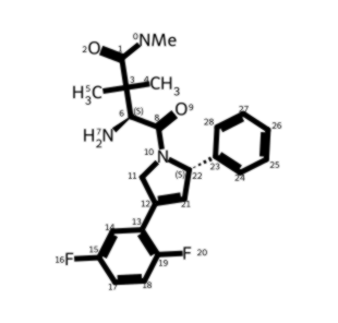 CNC(=O)C(C)(C)[C@H](N)C(=O)N1CC(c2cc(F)ccc2F)=C[C@H]1c1ccccc1